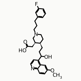 COc1ccc2nccc(C(O)CC[C@@H]3CCN(CCCc4cccc(F)c4)C[C@@H]3CC(=O)O)c2c1